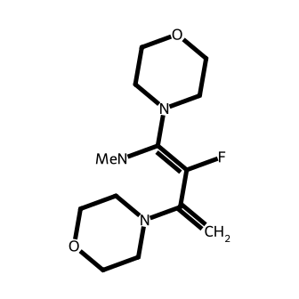 C=C(/C(F)=C(\NC)N1CCOCC1)N1CCOCC1